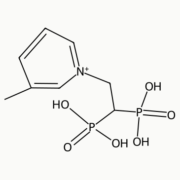 Cc1ccc[n+](CC(P(=O)(O)O)P(=O)(O)O)c1